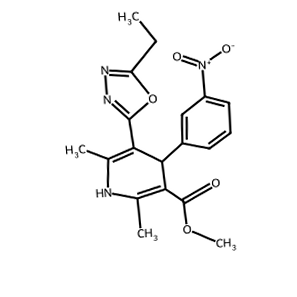 CCc1nnc(C2=C(C)NC(C)=C(C(=O)OC)C2c2cccc([N+](=O)[O-])c2)o1